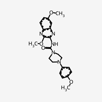 COc1ccc(N2CCN(C(=O)Nc3nc4cc(OC)ccc4nc3OC)CC2)cc1